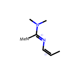 C/C=C\N=C(/NC)N(C)C